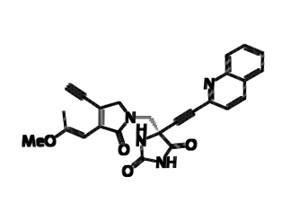 C#CC1=C(/C=C(\C)OC)C(=O)N(C[C@@]2(C#Cc3ccc4ccccc4n3)NC(=O)NC2=O)C1